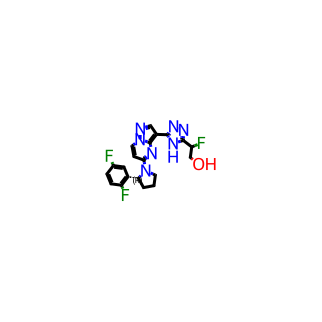 OCC(F)c1nnc(-c2cnn3ccc(N4CCC[C@@H]4c4cc(F)ccc4F)nc23)[nH]1